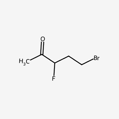 CC(=O)C(F)CCBr